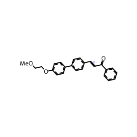 COCCOc1ccc(-c2ccc(/C=C/C(=O)c3ccccc3)cc2)cc1